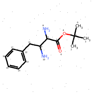 CC(C)(C)OC(=O)C(N)C(N)Cc1ccccc1